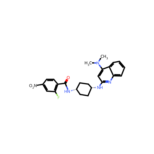 CN(C)c1cc(N[C@H]2CC[C@@H](NC(=O)c3ccc([N+](=O)[O-])cc3F)CC2)nc2ccccc12